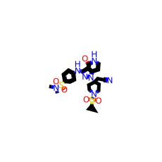 CN(C)S(=O)(=O)c1ccc(Nc2nn(C3(CC#N)CCN(S(=O)(=O)C4CC4)CC3)c3cc[nH]c(=O)c23)cc1